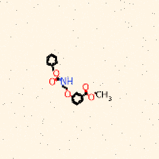 CCOC(=O)c1cccc(OCCNC(=O)OCc2ccccc2)c1